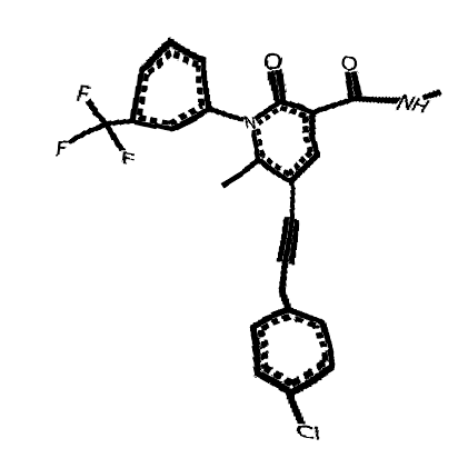 CNC(=O)c1cc(C#Cc2ccc(Cl)cc2)c(C)n(-c2cccc(C(F)(F)F)c2)c1=O